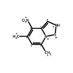 CC1=CC(C)=C([N+](=O)[O-])C2=CNSN12